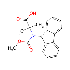 COC(=O)N(C1c2ccccc2-c2ccccc21)C(C)(C)C(=O)O